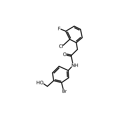 O=C(Cc1cccc(F)c1Cl)Nc1ccc(CO)c(Br)c1